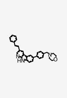 C(=C\c1cnc2[nH]c3ccc(-c4ccc(CN5CCOCC5)cc4)cc3c2c1)/c1ccccc1